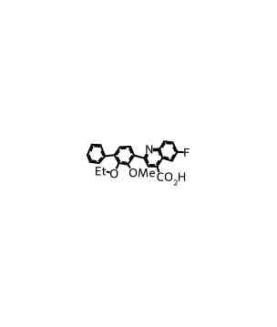 CCOc1c(-c2ccccc2)ccc(-c2cc(C(=O)O)c3cc(F)ccc3n2)c1OC